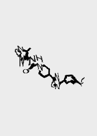 Cc1nonc1NC(=O)N1CCC(c2nc(-c3ccc(F)cc3)no2)CC1